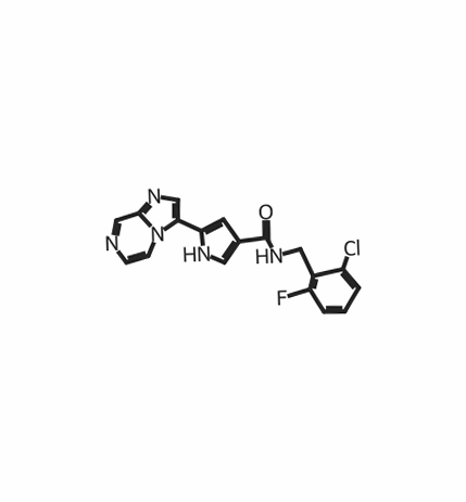 O=C(NCc1c(F)cccc1Cl)c1c[nH]c(-c2cnc3cnccn23)c1